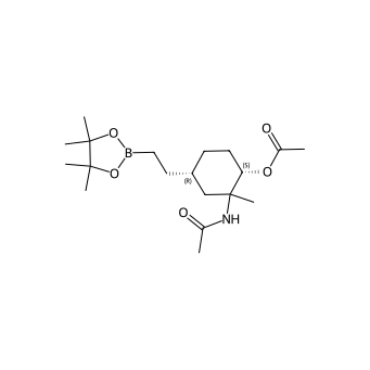 CC(=O)NC1(C)C[C@H](CCB2OC(C)(C)C(C)(C)O2)CC[C@@H]1OC(C)=O